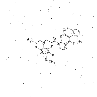 CCCN(CCNc1ccnc2c(F)c(-c3c(O)cccc3F)c(Cl)cc12)c1c(F)c(F)c(SC)c(F)c1F